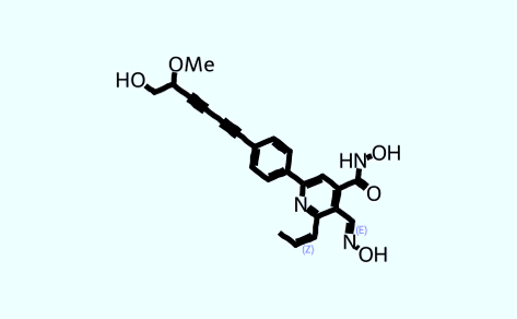 C/C=C\c1nc(-c2ccc(C#CC#CC(CO)OC)cc2)cc(C(=O)NO)c1/C=N/O